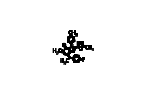 Cc1ccc(-n2c(-c3nnc(C)o3)cc3c(C(C)c4ccc(F)cc4)cn(C)c(=O)c32)cc1